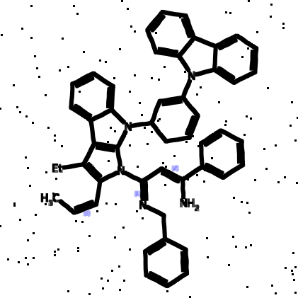 C/C=C\c1c(CC)c2c3ccccc3n(C3C=C(n4c5ccccc5c5ccccc54)C=CC3)c2n1C(/C=C(\N)c1ccccc1)=N/Cc1ccccc1